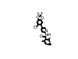 C#C/C=C(/C)C(C(=O)Nc1ccc(-c2cc3c(cc2Cl)OC(F)(F)O3)cn1)=C(C)C